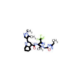 CCc1noc(Cn2nc(C(F)(F)F)c(NC(=O)c3cc(-c4cnn(C)c4C)nc4ccccc34)c2C)n1